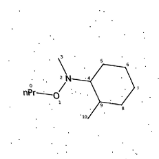 CCCON(C)C1CCCCC1C